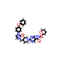 O=C(NOC1CCCCO1)c1cnc(N2CCC(Cn3ccn(-c4ccc(Oc5ccccc5)cc4)c3=O)CC2)nc1